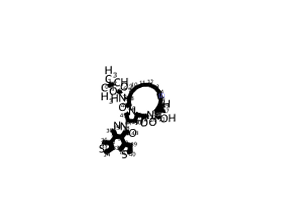 CC(C)(C)OC(=O)N[C@H]1CCCCC/C=C\[C@@H]2C[C@@]2(C(=O)O)NC(=O)[C@@H]2C[C@H](n3ncc(-c4ccsc4)c(-c4ccsc4)c3=O)CN2C1=O